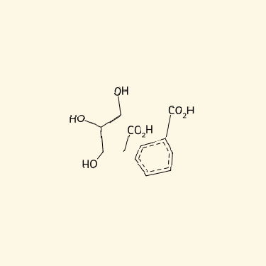 CC(=O)O.O=C(O)c1ccccc1.OCC(O)CO